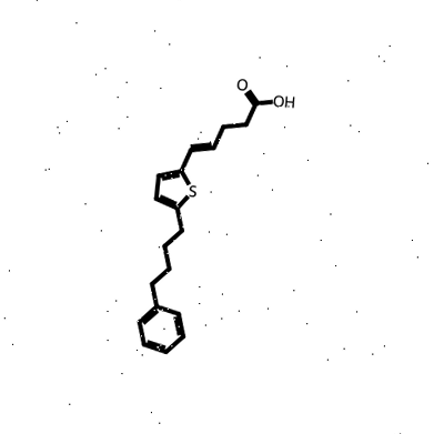 O=C(O)CCC=Cc1ccc(CCCCc2ccccc2)s1